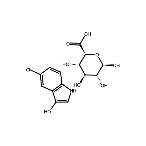 O=C(O)[C@H]1O[C@@H](O)[C@H](O)[C@@H](O)[C@@H]1O.Oc1c[nH]c2ccc(Cl)cc12